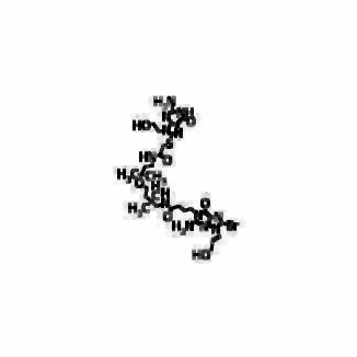 CC(C)(CCOC(C)(C)CCNC(=O)CSc1nc2c(=O)[nH]c(N)nc2n1CCO)CNC(=O)CCCn1c(N)nc2c(nc(Br)n2C=CCO)c1=O